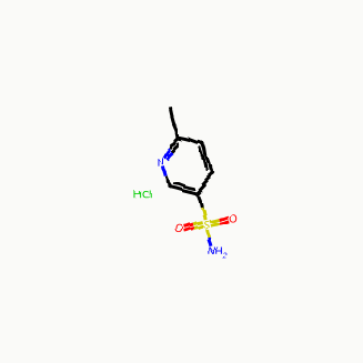 Cc1ccc(S(N)(=O)=O)cn1.Cl